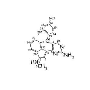 CNC1C=C(c2nc(N)ncc2Oc2ccc(F)cc2F)c2ccccc21